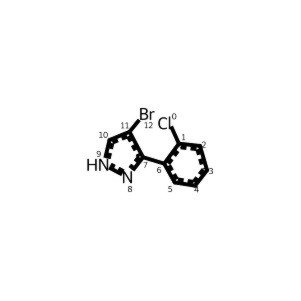 Clc1ccccc1-c1n[nH]cc1Br